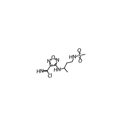 CC(CCNS(C)(=O)=O)Nc1nonc1C(=N)Cl